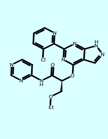 CCOC[C@H](Oc1nc(-c2ncccc2Cl)nc2[nH]ncc12)C(=O)Nc1ccncn1